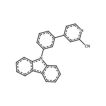 N#Cc1cc(-c2cccc(-n3c4ccccc4c4ccccc43)c2)ccn1